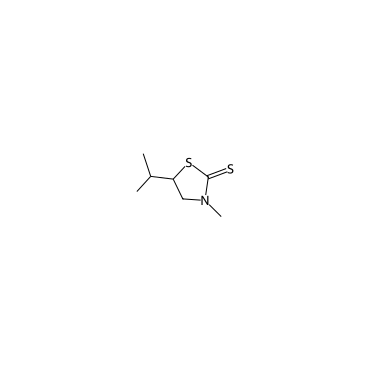 CC(C)C1CN(C)C(=S)S1